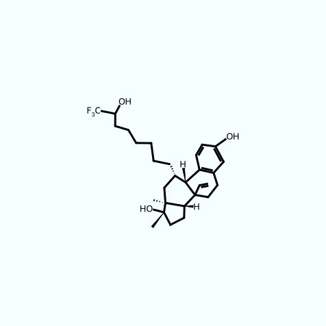 C=CC12CCc3cc(O)ccc3[C@H]1[C@@H](CCCCCCC(O)C(F)(F)F)C[C@@]1(C)[C@H]2CC[C@]1(C)O